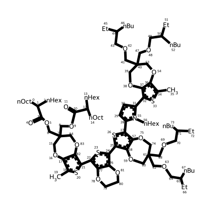 CCCCCCCCC(CCCCCC)C(=O)OCC1(COC(=O)C(CCCCCC)CCCCCCCC)COc2c(C)sc(-c3sc(-c4sc(-c5ccc(-c6sc(C)c7c6OCC(COCC(CC)CCCC)(COCC(CC)CCCC)CO7)n5CCCCCC)c5c4OCC(COCC(CC)CCCC)(COCC(CC)CCCC)CO5)c4c3OCCO4)c2OC1